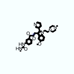 CNC(=O)Nc1ccc2c(c1)C(=O)/C(=C/c1c(-c3cccnc3)n(CCN3CCN(C)CC3)c3ccc(OC)cc13)O2